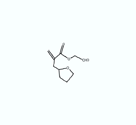 C=C(CC1CCCO1)C(=O)OCC=O